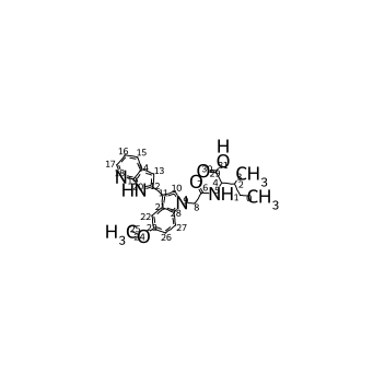 CCC(C)C(NC(=O)Cn1cc(-c2cc3cccnc3[nH]2)c2cc(OC)ccc21)C(=O)O